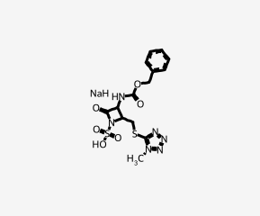 Cn1nnnc1SCC1C(NC(=O)OCc2ccccc2)C(=O)N1S(=O)(=O)O.[NaH]